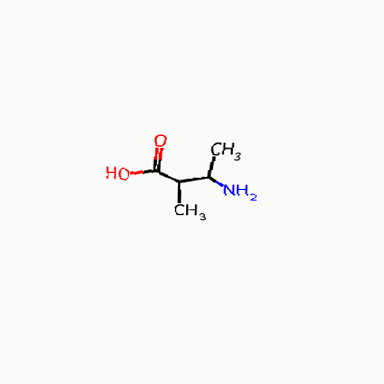 CC(N)C(C)C(=O)O